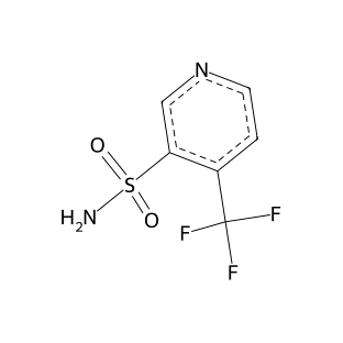 NS(=O)(=O)c1cnccc1C(F)(F)F